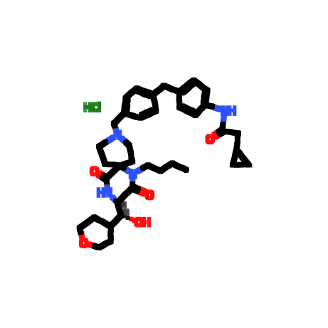 CCCCN1C(=O)[C@@H]([C@H](O)C2CCOCC2)NC(=O)C12CCN(Cc1ccc(Cc3ccc(NC(=O)CC4CC4)cc3)cc1)CC2.Cl